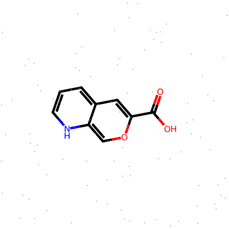 O=C(O)C1=CC2=CC=CNC2=CO1